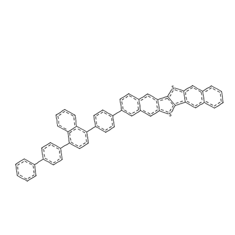 c1ccc(-c2ccc(-c3ccc(-c4ccc(-c5ccc6cc7c(cc6c5)sc5c6cc8ccccc8cc6sc75)cc4)c4ccccc34)cc2)cc1